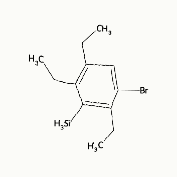 CCc1cc(Br)c(CC)c([SiH3])c1CC